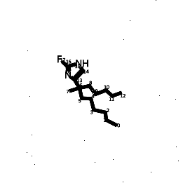 CCCCCCC(C)(CCCCC)c1c[nH]c(F)n1